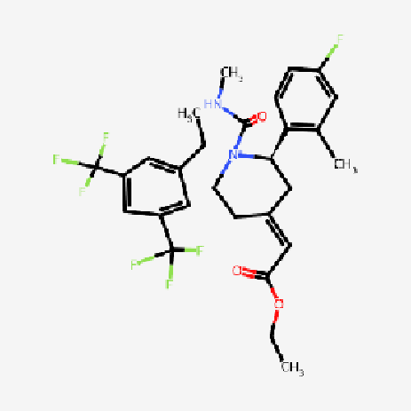 CCOC(=O)C=C1CC[N@@+](C(=O)NC)(C(C)c2cc(C(F)(F)F)cc(C(F)(F)F)c2)[C@@H](c2ccc(F)cc2C)C1